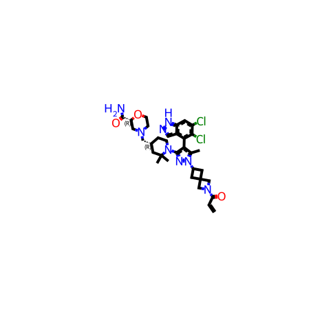 C=CC(=O)N1CC2(CC(n3nc(N4CC[C@@H](CN5CCO[C@@H](C(N)=O)C5)CC4(C)C)c(-c4c(Cl)c(Cl)cc5[nH]ncc45)c3C)C2)C1